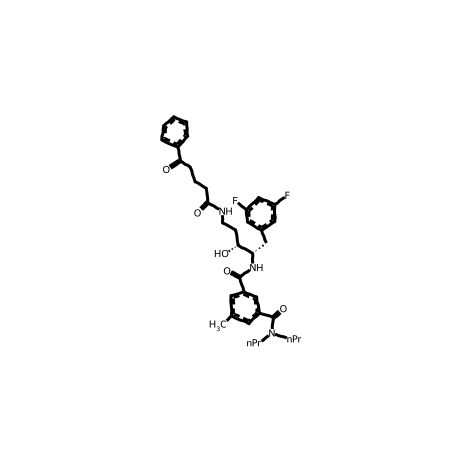 CCCN(CCC)C(=O)c1cc(C)cc(C(=O)N[C@@H](Cc2cc(F)cc(F)c2)[C@H](O)CCNC(=O)CCCC(=O)c2ccccc2)c1